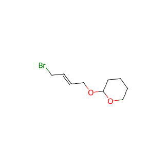 BrCC=CCOC1CCCCO1